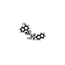 O=S(=O)(NON(O)S(=O)(=O)c1ccc2ccccc2c1)c1ccc(Cl)c2ccccc12